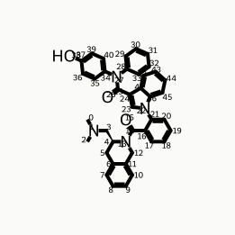 CN(C)C[C@@H]1Cc2ccccc2CN1C(=O)c1ccccc1-n1cc(C(=O)N(c2ccccc2)c2ccc(O)cc2)c2ccccc21